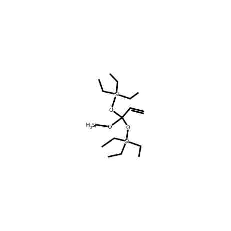 C=CC(O[SiH3])(O[Si](CC)(CC)CC)O[Si](CC)(CC)CC